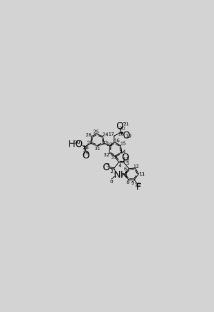 CNC(=O)c1c(-c2ccc(F)cc2)oc2cc(CC(=O)OC)c(-c3cccc(C(=O)O)c3)cc12